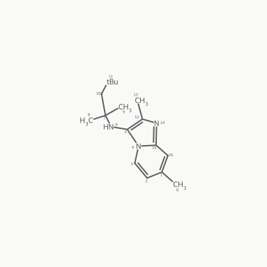 Cc1ccn2c(NC(C)(C)CC(C)(C)C)c(C)nc2c1